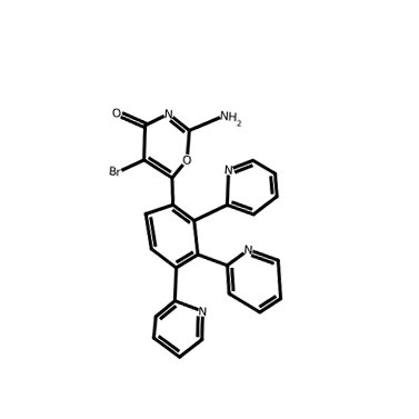 Nc1nc(=O)c(Br)c(-c2ccc(-c3ccccn3)c(-c3ccccn3)c2-c2ccccn2)o1